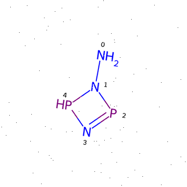 Nn1pn[pH]1